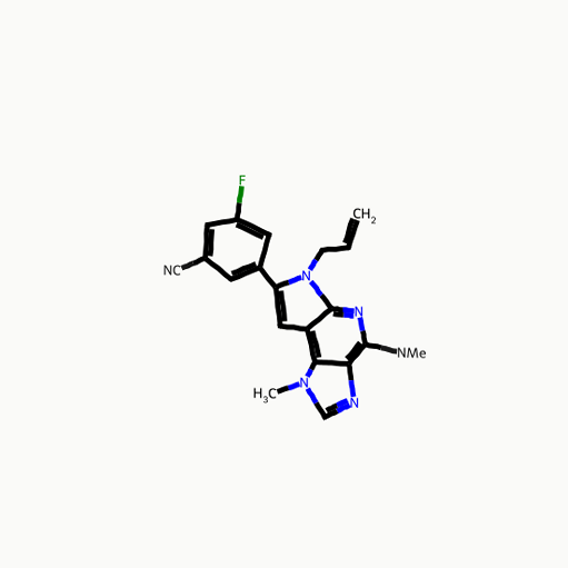 C=CCn1c(-c2cc(F)cc(C#N)c2)cc2c3c(ncn3C)c(NC)nc21